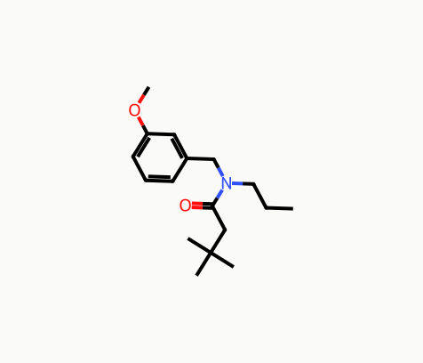 CCCN(Cc1cccc(OC)c1)C(=O)CC(C)(C)C